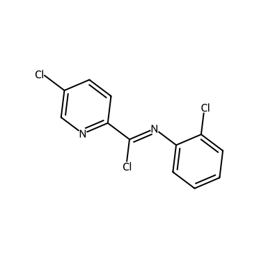 Cl/C(=N\c1ccccc1Cl)c1ccc(Cl)cn1